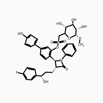 CO[C@@H]1OC(CS(=O)(=O)Oc2cc(-c3ccc(O)cc3)ccc2[C@@H]2[C@@H](CC[C@H](O)c3ccc(F)cc3)C(=O)N2c2ccccc2)[C@H](O)[C@@H](O)[C@@H]1O